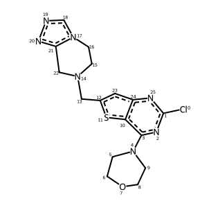 Clc1nc(N2CCOCC2)c2sc(CN3CCn4cnnc4C3)cc2n1